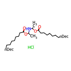 CCCCCCCCCCCCCCCCCC(=O)OC(C)NC(C)OC(=O)CCCCCCCCCCCCCCCCC.Cl